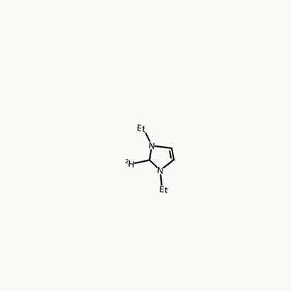 [2H]C1N(CC)C=CN1CC